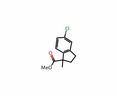 COC(=O)C1(C)CCc2cc(Cl)ccc21